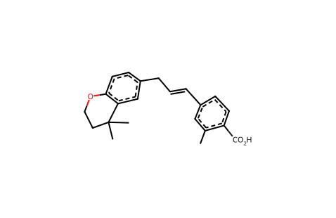 Cc1cc(/C=C/Cc2ccc3c(c2)C(C)(C)CCO3)ccc1C(=O)O